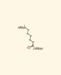 CCCCCCCCCCCCCCC(=O)CCCCCCCCC